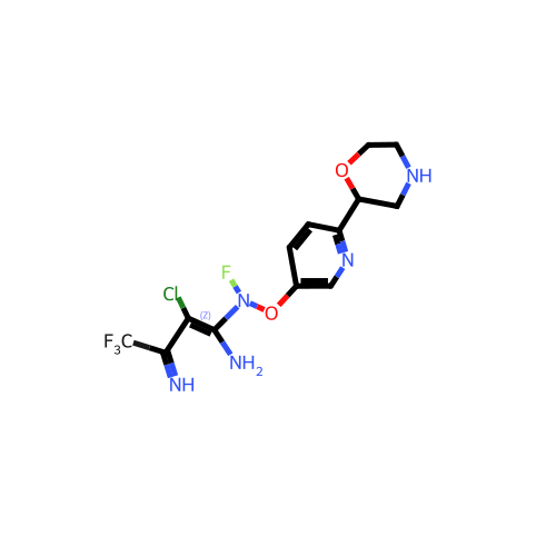 N=C(/C(Cl)=C(\N)N(F)Oc1ccc(C2CNCCO2)nc1)C(F)(F)F